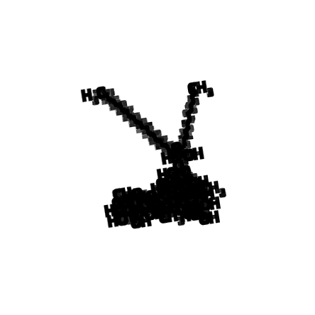 CCCCCCCCCCCCC/C=C/[C@@H](O)[C@H](CO[C@@H]1OC(CO)[C@@H](O[C@@H]2OC(CO)[C@H](O[C@@H]3OC(CO)[C@H](O)[C@H](O[C@@H]4OC(CO)[C@H](O[C@@H]5OC(CO)[C@H](O)[C@H](O)C5NC(C)=O)[C@H](O)C4O)C3NC(C)=O)[C@H](O[C@]3(C(=O)O)CC(O)[C@@H](NC(C)=O)C([C@H](O)[C@H](O)CO)O3)C2O)[C@H](O)C1O)NC(=O)CCCCCCCCCCCCCCCCCCCCC